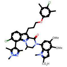 COc1cc(N2CC(C)n3c(c(CCCOc4cc(C)c(Cl)c(C)c4)c4ccc(Cl)c(-c5c(C)nn(C)c5C)c43)C2=O)c2c(cc(C(=O)O)n2C)c1OC